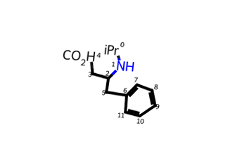 CC(C)NC(CC(=O)O)Cc1ccccc1